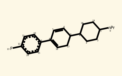 CCCC1CCC(C2C=CC(c3ccc(F)cc3)=CC2)CC1